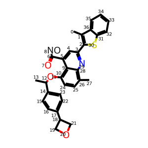 Cc1c(-c2cc(C(=O)N=O)c3c(OC(C)c4ccc(C5COC5)cc4)ccc(C)c3n2)sc2ccccc12